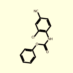 N#Cc1ccc(NC(=O)Oc2ccccc2)c(Cl)c1